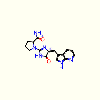 NC(=O)C1CCCN1C1=N/C(=C/c2c[nH]c3ncccc23)C(=O)N1